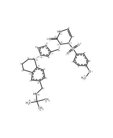 COc1ccc(S(=O)(=O)N2C=CNC(=O)[C@H]2Cc2cn([C@H]3CCCc4cc(CNC(C)(C)C)ccc43)nn2)cc1